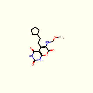 COCNc1c(CCC2CCCC2)c2c(=O)[nH]c(=O)[nH]c2oc1=O